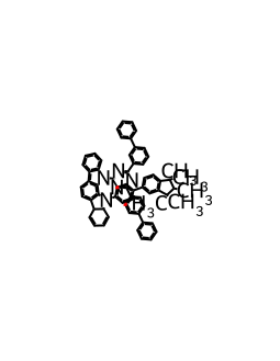 CC1C(C)(C)c2ccc(-c3ccc(N4c5c(ccc6c7ccccc7n(-c7nc(-c8ccc(-c9ccccc9)cc8)nc(-c8cccc(-c9ccccc9)c8)n7)c56)C5C=CC=CC54)cc3)cc2C1(C)C